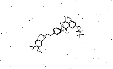 COc1cc2c(cc1OC)CN(CCc1ccc(NC(=O)c3cc(O[Si](C)(C)C(C)(C)C)ccc3C(N)=O)cc1)CC2